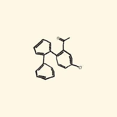 CC(=O)c1cc(Cl)ccc1-c1ccccc1-c1ccccc1